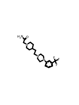 NC(=O)CN1CCC(CCN2CCN(c3cccc(C(F)(F)F)c3)CC2)CC1